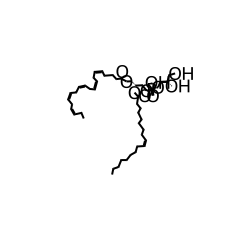 CC/C=C\C/C=C\C/C=C\C/C=C\C/C=C\CCCC(=O)OC[C@H](COP(=O)(O)OC[C@@H](O)CO)OC(=O)CCCCCCC/C=C\CCCCCCCC